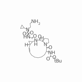 CC(C)(C)OC(=O)N[C@H]1CCCCC/C=C\[C@@H]2C[C@@]2(C(=O)NS(=O)(=O)N(CCN)C2CC2)NC(=O)[C@@H]2CCCN2C1=O